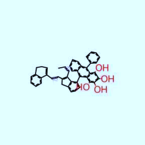 C/C=C\C1=C(/C=C/C2=CCCc3ccccc32)Cc2cccc(-c3c4ccccc4c(-c4ccccc4)c4c(O)c(O)c(O)c(O)c34)c21